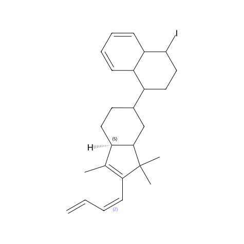 C=C/C=C\C1=C(C)[C@H]2CCC(C3CCC(I)C4C=CC=CC43)CC2C1(C)C